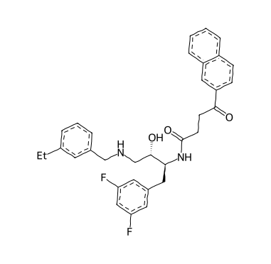 CCc1cccc(CNC[C@H](O)[C@H](Cc2cc(F)cc(F)c2)NC(=O)CCC(=O)c2ccc3ccccc3c2)c1